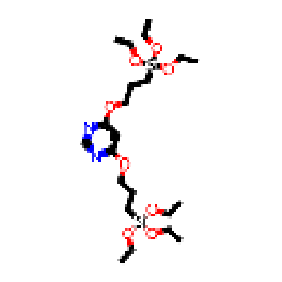 CCO[Si](CCCOc1cc(OCCC[Si](OCC)(OCC)OCC)ncn1)(OCC)OCC